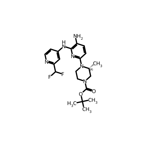 C[C@@H]1CN(C(=O)OC(C)(C)C)CCN1c1ccc(N)c(Nc2ccnc(C(F)F)c2)n1